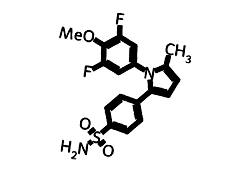 COc1c(F)cc(-n2c(C)ccc2-c2ccc(S(N)(=O)=O)cc2)cc1F